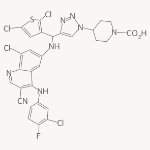 N#Cc1cnc2c(Cl)cc(NC(c3cn(C4CCN(C(=O)O)CC4)nn3)c3cc(Cl)sc3Cl)cc2c1Nc1ccc(F)c(Cl)c1